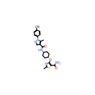 Cc1nc(O[C@H]2CC[C@H](NC(=O)c3cnn(-c4ccc(C#N)cc4)c3C)CC2)c(C(N)=O)s1